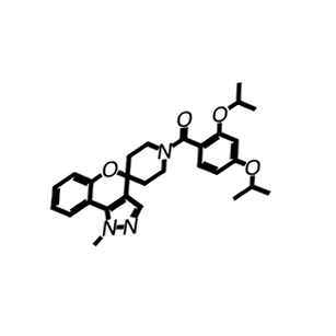 CC(C)Oc1ccc(C(=O)N2CCC3(CC2)Oc2ccccc2-c2c3cnn2C)c(OC(C)C)c1